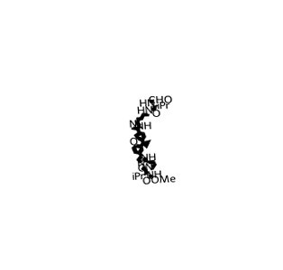 COC(=O)N[C@H](C(=O)N1CCC[C@H]1C1=NCC(c2ccc3c(c2)C2(CC2)c2ccc(C4CN=C(CCCCNC(=O)[C@@H](NC=O)C(C)C)N4)cc2O3)N1)C(C)C